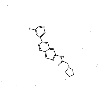 O=C(CN1CCCC1)Nc1cc2cc(-c3cncc(F)c3)cnc2cn1